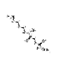 CNC(=O)CCC(=O)N(O)CCCCCN